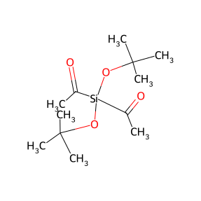 CC(=O)[Si](OC(C)(C)C)(OC(C)(C)C)C(C)=O